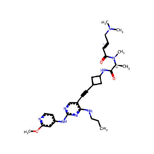 CCCNc1nc(Nc2ccnc(OC)c2)ncc1C#CC1CC(NC(=O)[C@H](C)N(C)C(=O)/C=C/CN(C)C)C1